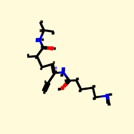 C#C/C(=C\CC(C)C(=O)NC(C)C)NC(=O)CCCCN=C